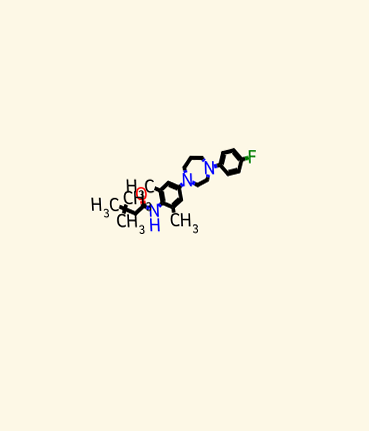 Cc1cc(N2CCCN(c3ccc(F)cc3)CC2)cc(C)c1NC(=O)CC(C)(C)C